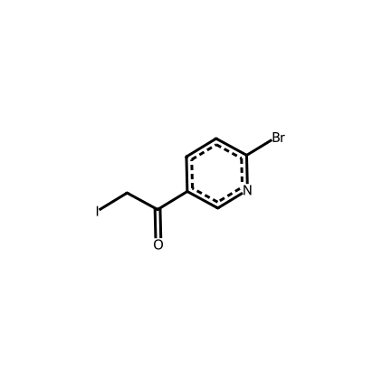 O=C(CI)c1ccc(Br)nc1